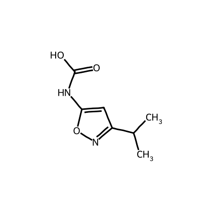 CC(C)c1cc(NC(=O)O)on1